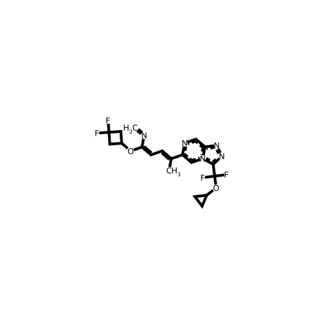 C=N/C(=C\C=C(/C)c1cn2c(C(F)(F)OC3CC3)nnc2cn1)OC1CC(F)(F)C1